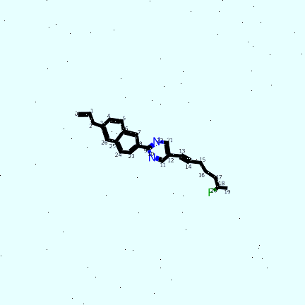 C=CCc1ccc2cc(-c3ncc(C#CCCCC(C)F)cn3)ccc2c1